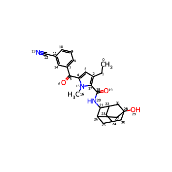 CCc1cc(C(=O)c2cccc(C#N)c2)n(C)c1C(=O)NC1C2CC3CC1CC(O)(C3)C2